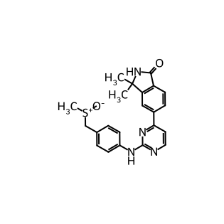 C[S+]([O-])Cc1ccc(Nc2nccc(-c3ccc4c(c3)C(C)(C)NC4=O)n2)cc1